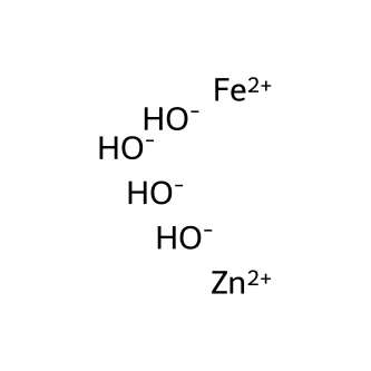 [Fe+2].[OH-].[OH-].[OH-].[OH-].[Zn+2]